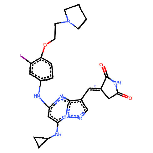 O=C1C/C(=C\c2cnn3c(NC4CC4)cc(Nc4ccc(OCCN5CCCC5)c(I)c4)nc23)C(=O)N1